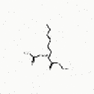 CCCCCCCC(=O)NC.CCCCCCCC(=O)OCC